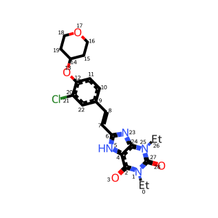 CCn1c(=O)c2[nH]c(/C=C/c3ccc(OC4CCOCC4)c(Cl)c3)nc2n(CC)c1=O